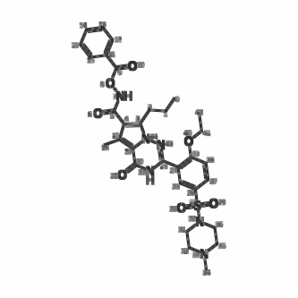 CCCc1c(C(=O)NOC(=O)c2ccccc2)c(C)c2c(=O)[nH]c(-c3cc(S(=O)(=O)N4CCN(C)CC4)ccc3OCC)nn12